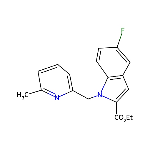 CCOC(=O)c1cc2cc(F)ccc2n1Cc1cccc(C)n1